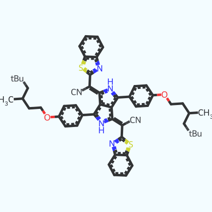 [C-]#[N+]/C(c1nc2ccccc2s1)=c1/[nH]c(-c2ccc(OCCC(C)CC(C)(C)C)cc2)c2/c(=C(\C#N)c3nc4ccccc4s3)[nH]c(-c3ccc(OCCC(C)CC(C)(C)C)cc3)c12